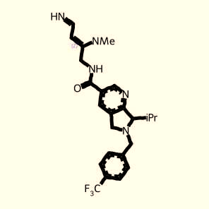 CN/C(=C\C=N)CNC(=O)c1cnc2c(c1)CN(Cc1ccc(C(F)(F)F)cc1)C2C(C)C